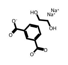 O=C([O-])c1cccc(C(=O)[O-])c1.OCCO.[Na+].[Na+]